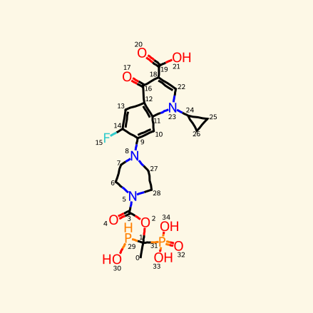 CC(OC(=O)N1CCN(c2cc3c(cc2F)c(=O)c(C(=O)O)cn3C2CC2)CC1)(PO)P(=O)(O)O